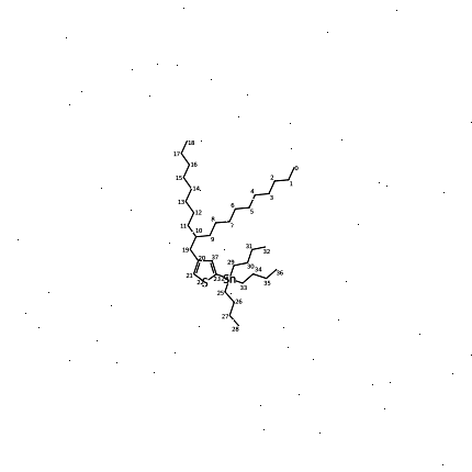 CCCCCCCCCCC(CCCCCCCC)Cc1cs[c]([Sn]([CH2]CCC)([CH2]CCC)[CH2]CCC)c1